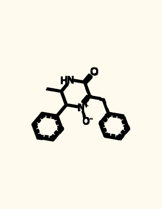 CC1NC(=O)C(Cc2ccccc2)=[N+]([O-])C1c1ccccc1